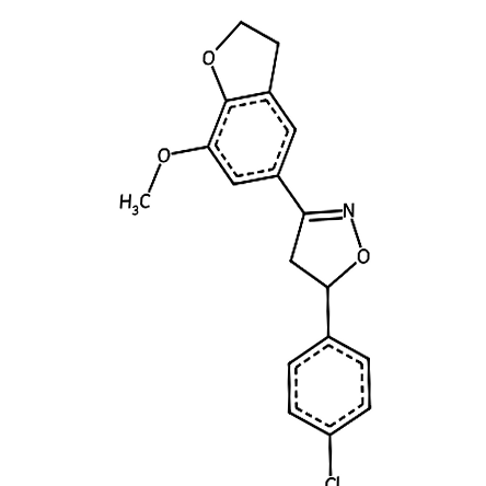 COc1cc(C2=NOC(c3ccc(Cl)cc3)C2)cc2c1OCC2